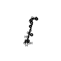 Cc1ccccc1OCC(=O)N1CCOC2(CCN(Cc3cccc(CCOCCC(=O)N(CCNCCc4ccc(O)c5c4OCC(=O)N5)C4CCCCC4)c3)CC2)C1